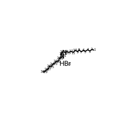 Br.CCCCCCCCCCCCCCN1C=CN(CCCCCCCCCCCC)C1